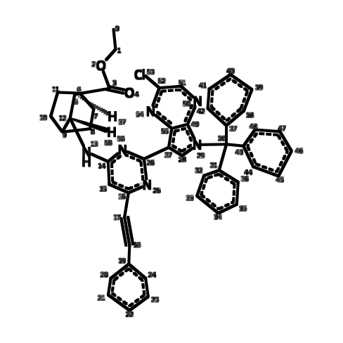 CCOC(=O)[C@@H]1C2CCC(CC2)[C@H]1Nc1cc(C#Cc2ccccc2)nc(-c2cn(C(c3ccccc3)(c3ccccc3)c3ccccc3)c3ncc(Cl)nc23)n1